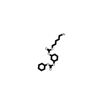 CC(C)CCCCCOC(=O)OC1CCCC(OC(=O)OC2CCCCC2)C1